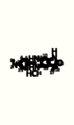 CN(C)c1ccc(C2Nc3cc4c(cc3N2)C(C)(C)C(=O)N4)cc1.Cl